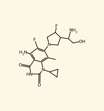 Cc1c(N2CC(F)C(C(N)CO)C2)c(F)c(N)c2c(=O)[nH]c(=O)n(C3CC3)c12